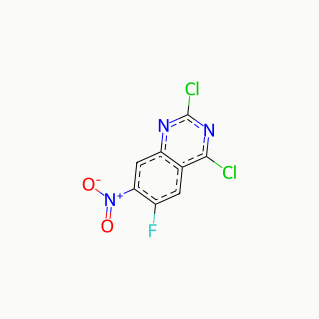 O=[N+]([O-])c1cc2nc(Cl)nc(Cl)c2cc1F